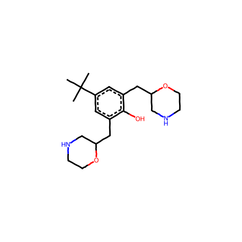 CC(C)(C)c1cc(CC2CNCCO2)c(O)c(CC2CNCCO2)c1